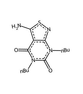 CCCCn1c(=O)c2c(N)snc2n(CCCC)c1=O